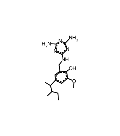 CCC(C)C(C)c1cc(CNc2nc(N)nc(N)n2)c(O)c(OC)c1